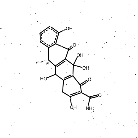 C[C@H]1C2=C(C(=O)c3c(O)cccc31)C(O)(O)C1=C(CC(O)=C(C(N)=O)C1=O)C2O